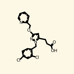 O=C(O)CCc1cc(OCc2ccccn2)nn1Cc1ccc(Cl)cc1Cl